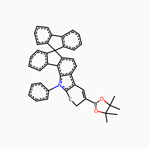 CC1(C)OB(C2=Cc3c(n(-c4ccccc4)c4c5c(ccc34)C3(c4ccccc4-c4ccccc43)c3ccccc3-5)CC2)OC1(C)C